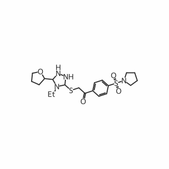 CCN1C(SCC(=O)c2ccc(S(=O)(=O)N3CCCC3)cc2)NNC1C1CCCO1